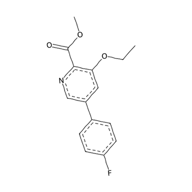 CCOc1cc(-c2ccc(F)cc2)cnc1C(=O)OC